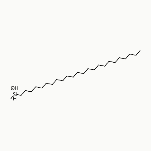 CCCCCCCCCCCCCCCCCCCCCCCC[SiH](C)O